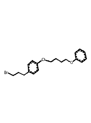 BrCCCc1ccc(OCCCCOc2ccccc2)cc1